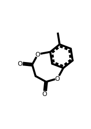 Cc1ccc2cc1OC(=O)CC(=O)O2